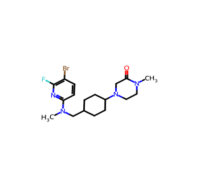 CN1CCN(C2CCC(CN(C)c3ccc(Br)c(F)n3)CC2)CC1=O